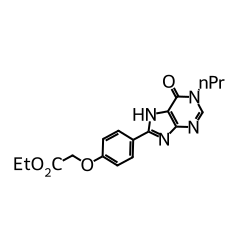 CCCn1cnc2nc(-c3ccc(OCC(=O)OCC)cc3)[nH]c2c1=O